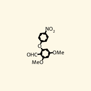 COc1cc(OC)c(C=O)c(Oc2ccc([N+](=O)[O-])cc2)c1